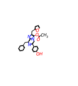 CC(=O)Oc1c(Cc2ccco2)nc2c(Cc3ccccc3)nc(-c3ccc(O)cc3)cn12